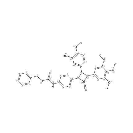 COc1ccc(C2C(c3ccc(NC(=O)OCc4ccccc4)cc3)C(=O)N2c2cc(OC)c(OC)c(OC)c2)cc1O